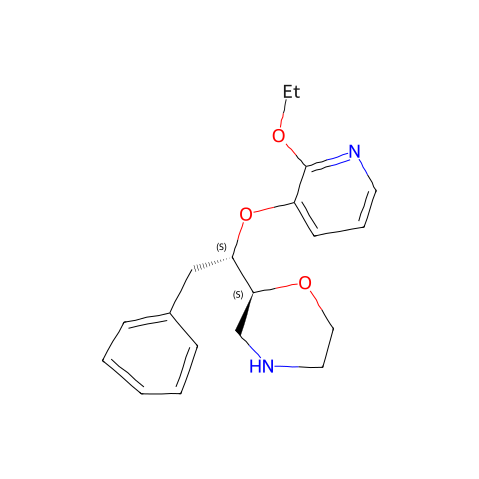 CCOc1ncccc1O[C@@H](Cc1ccccc1)[C@@H]1CNCCO1